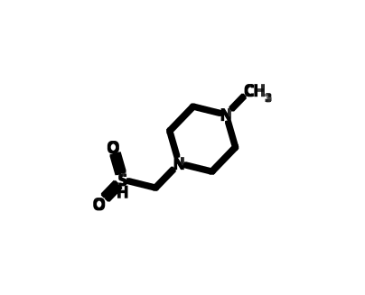 CN1CCN(C[SH](=O)=O)CC1